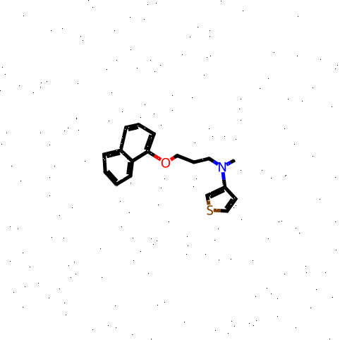 CN(CCCOc1cccc2ccccc12)c1ccsc1